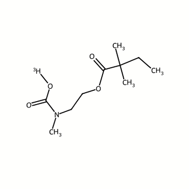 [3H]OC(=O)N(C)CCOC(=O)C(C)(C)CC